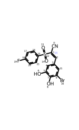 N#C/C(=C/c1cc(O)c(O)c(Br)c1)S(=O)(=O)c1ccc(F)cc1